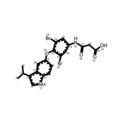 CC(C)c1c[nH]c2ccc(Oc3c(Br)cc(NC(=O)CC(=O)O)cc3Br)cc12